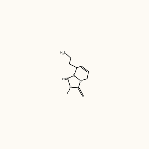 BCCC1C=CCn2c(=O)n(F)c(=O)n21